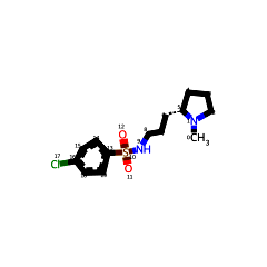 CN1CCC[C@H]1CCCNS(=O)(=O)c1ccc(Cl)cc1